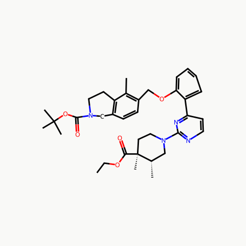 CCOC(=O)[C@@]1(C)CCN(c2nccc(-c3ccccc3OCc3ccc4c(c3C)CCN(C(=O)OC(C)(C)C)C4)n2)C[C@@H]1C